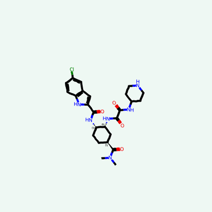 CN(C)C(=O)[C@H]1CC[C@H](NC(=O)c2cc3cc(Cl)ccc3[nH]2)[C@H](NC(=O)C(=O)NC2CCNCC2)C1